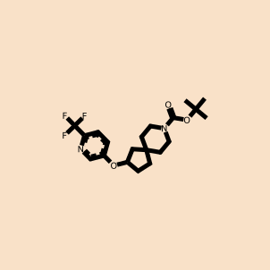 CC(C)(C)OC(=O)N1CCC2(CCC(Oc3ccc(C(F)(F)F)nc3)C2)CC1